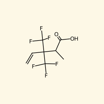 C=CC(C(C)C(=O)O)(C(F)(F)F)C(F)(F)F